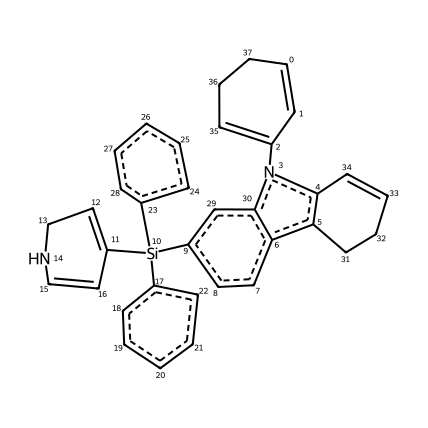 C1=CC(n2c3c(c4ccc([Si](C5=CCNC=C5)(c5ccccc5)c5ccccc5)cc42)CCC=C3)=CCC1